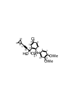 COc1ccc(N(C)c2ccc(Cl)cc2[C@@](O)(C#CC2CC2)C(F)(F)F)cc1OC